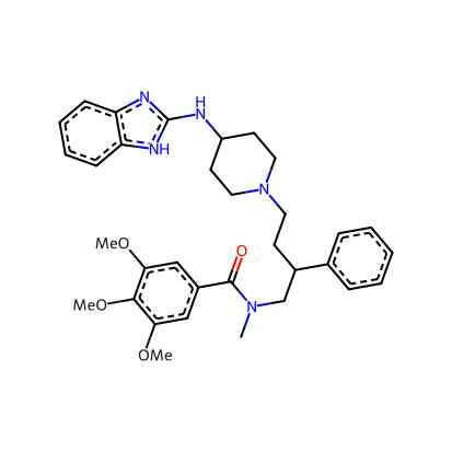 COc1cc(C(=O)N(C)CC(CCN2CCC(Nc3nc4ccccc4[nH]3)CC2)c2ccccc2)cc(OC)c1OC